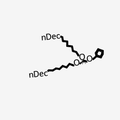 CCCCCCCCCCCCCCCCCCOC[C@H](COCc1ccccc1)OCCCCCCCCCCCCCCCCCC